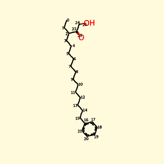 CCC(CCCCCCCCCCCCCc1ccccc1)C(=O)CO